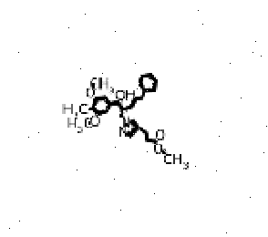 CCOC(=O)CCc1cnn(C[C@H](CCCc2ccccc2)[C@H](O)c2cc(OC)c(C)c(OC)c2)c1